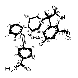 CCNc1cc(F)cc2c1NC(=O)C2(C)N1CC[C@H](c2ccccc2Oc2ccc(C(N)=O)cc2)[C@@H](NC(C)=O)C1